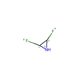 FC1NC1F